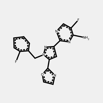 Nc1nc(-c2cc(-c3ncco3)n(Cc3ccccc3F)n2)ncc1F